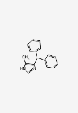 Cc1[nH]cnc1C(c1ccccc1)c1ccccc1